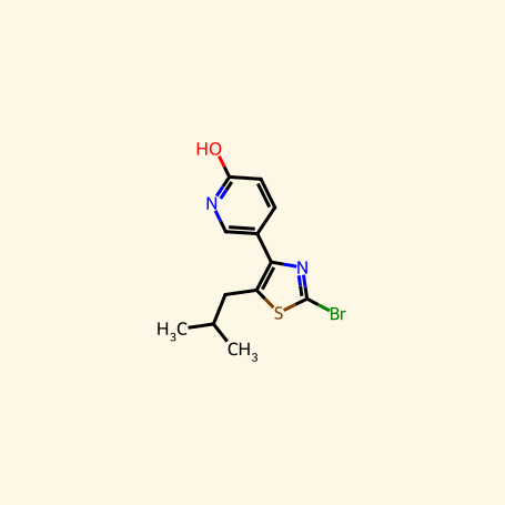 CC(C)Cc1sc(Br)nc1-c1ccc(O)nc1